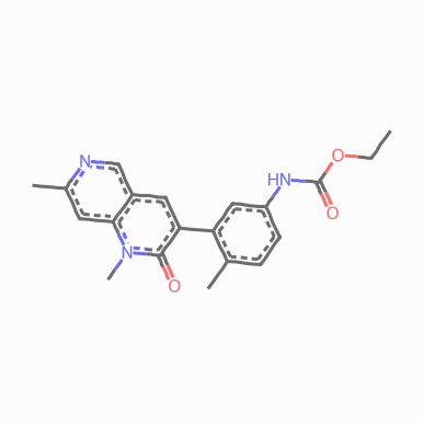 CCOC(=O)Nc1ccc(C)c(-c2cc3cnc(C)cc3n(C)c2=O)c1